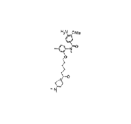 COc1cc(C(=O)N(C)c2ccc(C)cc2OCCCCCC(=O)N2CCC(N(C)C)CC2)ccc1N